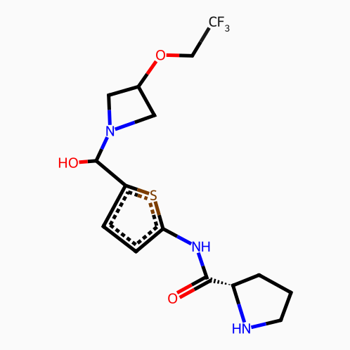 O=C(Nc1ccc(C(O)N2CC(OCC(F)(F)F)C2)s1)[C@@H]1CCCN1